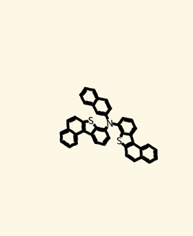 c1ccc2cc(N(c3cccc4c3sc3ccc5ccccc5c34)c3cccc4c3sc3ccc5ccccc5c34)ccc2c1